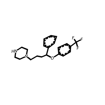 FC(F)(F)c1ccc(OC(CCCN2CCNCC2)c2ccccc2)cc1